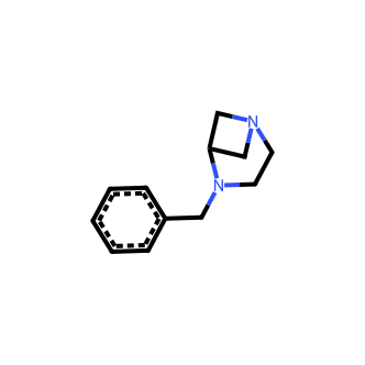 c1ccc(CN2CCN3CC2C3)cc1